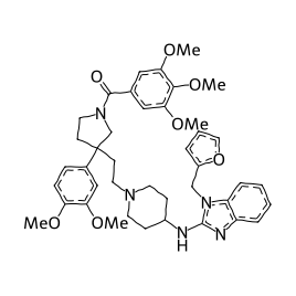 COc1ccc(C2(CCN3CCC(Nc4nc5ccccc5n4Cc4ccco4)CC3)CCN(C(=O)c3cc(OC)c(OC)c(OC)c3)C2)cc1OC